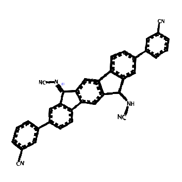 N#C/N=C1\c2cc(-c3cccc(C#N)c3)ccc2-c2cc3c(cc21)-c1ccc(-c2cccc(C#N)c2)cc1C3NC#N